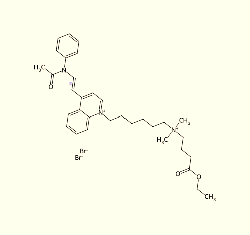 CCOC(=O)CCC[N+](C)(C)CCCCCC[n+]1ccc(/C=C/N(C(C)=O)c2ccccc2)c2ccccc21.[Br-].[Br-]